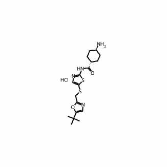 CC(C)(C)c1cnc(CSc2cnc(NC(=O)[C@H]3CC[C@H](N)CC3)s2)o1.Cl